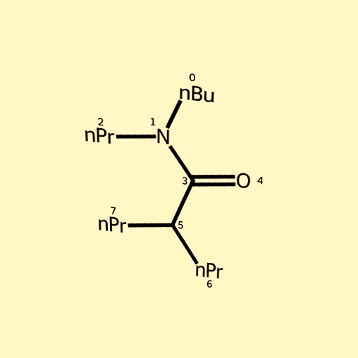 CCCCN(CCC)C(=O)C(CCC)CCC